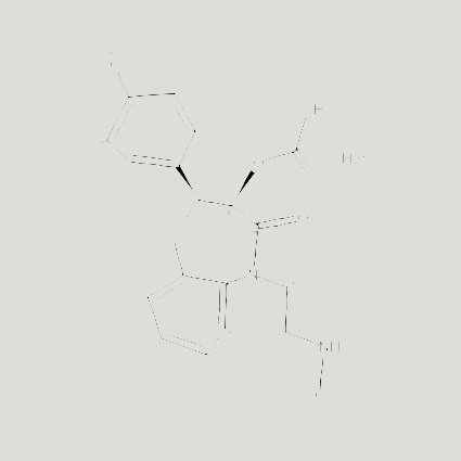 Br.CNCCN1C(=O)[C@H](OC(C)=O)[C@H](c2ccc(C)cc2)Sc2ccccc21